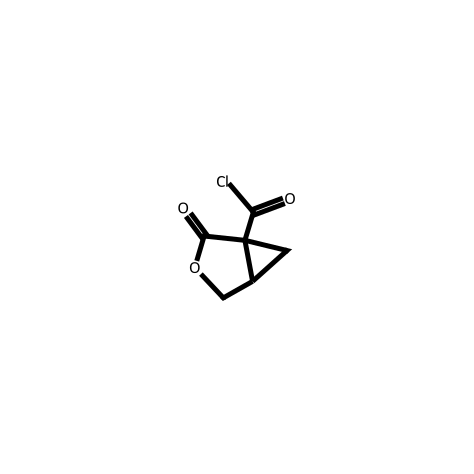 O=C(Cl)C12CC1COC2=O